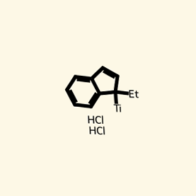 CC[C]1([Ti])C=Cc2ccccc21.Cl.Cl